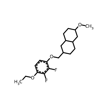 CCOc1ccc(OCC2CCC3CC(OC)CCC3C2)c(F)c1F